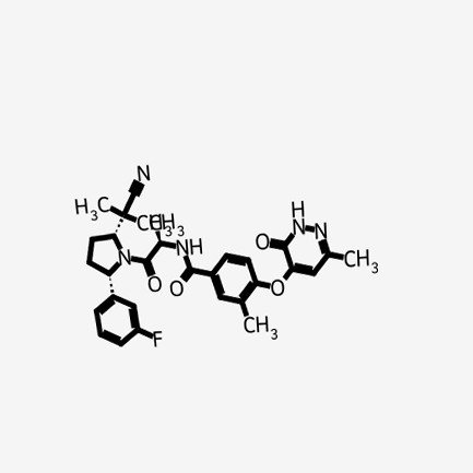 Cc1cc(Oc2ccc(C(=O)N[C@H](C)C(=O)N3[C@H](c4cccc(F)c4)CC[C@@H]3C(C)(C)C#N)cc2C)c(=O)[nH]n1